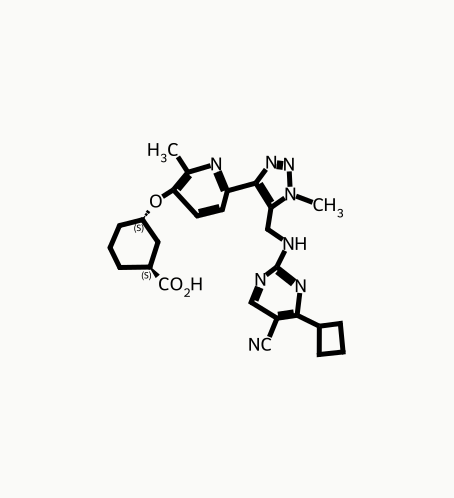 Cc1nc(-c2nnn(C)c2CNc2ncc(C#N)c(C3CCC3)n2)ccc1O[C@H]1CCC[C@H](C(=O)O)C1